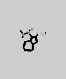 CC(C)N(c1c(C(=O)O)cc2cccccc1-2)N(C)C